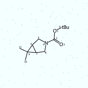 CC(C)(C)OC(=O)N1CC2C(C1)C2(C)C